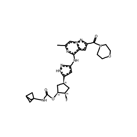 Cc1cn2nc(C(=O)N3CCOCC3)cc2c(Nc2cc([C@H]3C[C@@H](F)[C@@H](OC(=O)NC45CC(C4)C5)C3)[nH]n2)n1